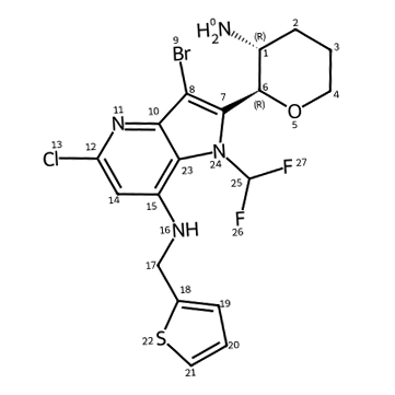 N[C@@H]1CCCO[C@H]1c1c(Br)c2nc(Cl)cc(NCc3cccs3)c2n1C(F)F